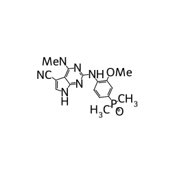 CNc1nc(Nc2ccc(P(C)(C)=O)cc2OC)nc2[nH]cc(C#N)c12